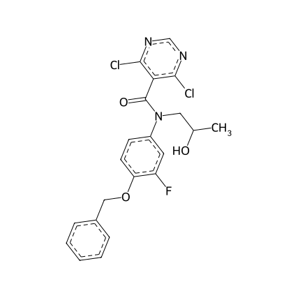 CC(O)CN(C(=O)c1c(Cl)ncnc1Cl)c1ccc(OCc2ccccc2)c(F)c1